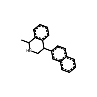 CC1NCC(c2ccc3ccccc3c2)c2ccccc21